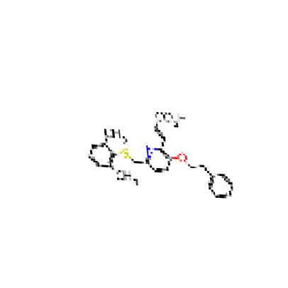 Cc1cccc(C)c1SCc1ccc(OCCc2ccccc2)c(C=CC(=O)O)n1